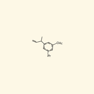 C=C[C](C)c1cc(OC(C)=O)cc(C(C)C)c1